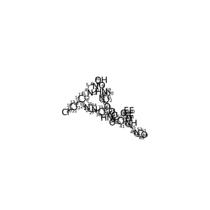 C[C@@]1(CN2CCCN(C(=O)O)CC2)CCC(c2ccc(Cl)cc2)=C(CN2CCN(c3ccc(C(=O)NS(=O)(=O)c4ccc(NCCCN5CCOCC5)c(S(=O)(=O)C(F)(F)F)c4)c(Oc4cnc5[nH]ccc5c4)c3)CC2)C1